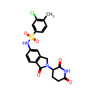 Cc1ccc(S(=O)(=O)Nc2ccc3c(c2)CN(C2CCC(=O)NC2=O)C3=O)cc1Cl